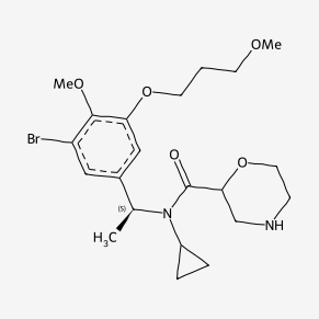 COCCCOc1cc([C@H](C)N(C(=O)C2CNCCO2)C2CC2)cc(Br)c1OC